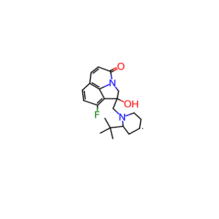 CC(C)(C)C1C[CH]CCN1CC1(O)Cn2c(=O)ccc3ccc(F)c1c32